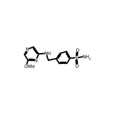 COc1cncc(NCc2ccc(S(N)(=O)=O)cc2)n1